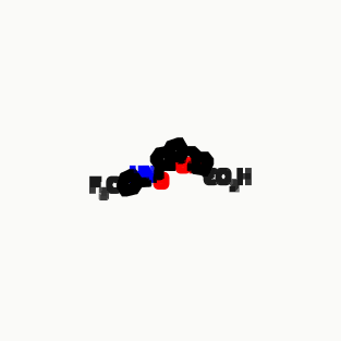 O=C(O)c1ccc(Cc2ccc3ccc(C(=O)NCc4ccc(C(F)(F)F)cc4)cc3c2O)cc1